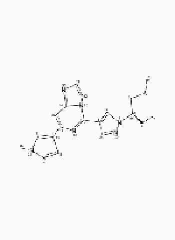 CC[C@H](CCF)n1cc(-c2nc(-c3cnn(C)c3)cc3nccn23)cn1